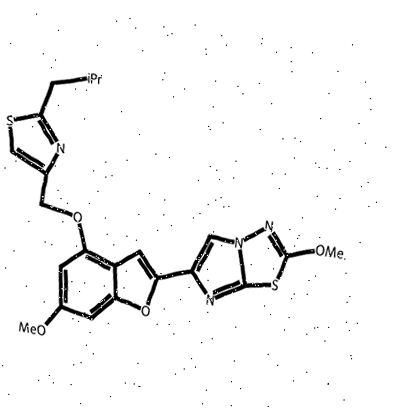 COc1cc(OCc2csc(CC(C)C)n2)c2cc(-c3cn4nc(OC)sc4n3)oc2c1